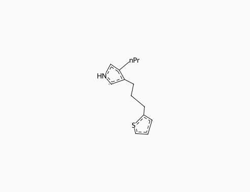 CCCc1c[nH][c]c1CCCc1cccs1